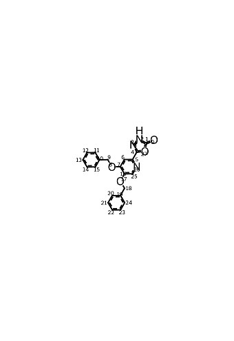 O=c1[nH]nc(-c2cc(OCc3ccccc3)c(OCc3ccccc3)cn2)o1